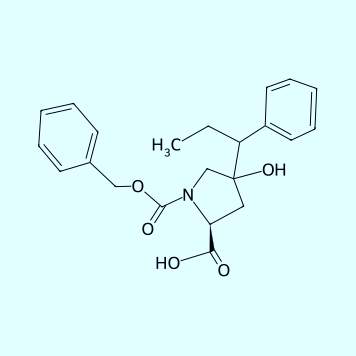 CCC(c1ccccc1)C1(O)C[C@@H](C(=O)O)N(C(=O)OCc2ccccc2)C1